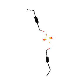 CCC#CCOS(=O)(=O)OCC#CCC